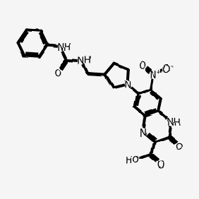 O=C(NCC1CCN(c2cc3nc(C(=O)O)c(=O)[nH]c3cc2[N+](=O)[O-])C1)Nc1ccccc1